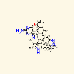 CCC1NC(C(=O)O)CC12CCN(c1cc(O[C@H](c3ccc(-c4ccc5c(C)n(C)nc5c4)cc3)C(F)(F)F)nc(N)n1)CC2